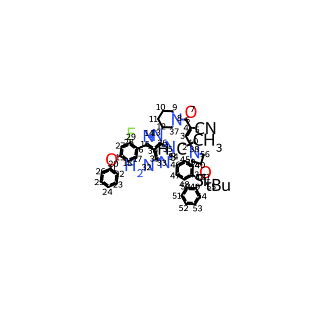 CC(C)(C=C(C#N)C(=O)N1CCCC(n2nc(-c3ccc(Oc4ccccc4)cc3F)c3c(N)ncnc32)C1)N1CC(O[Si](c2ccccc2)(c2ccccc2)C(C)(C)C)C1